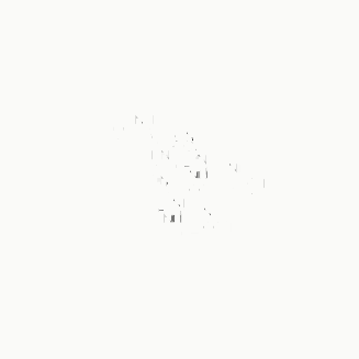 N[C@@H](CCC(=O)N[C@@H](CSN=O)C(=O)NCC(=O)O)C(=O)O.N[C@@H](CCC(=O)N[C@@H](CSN=O)C(=O)NCC(=O)O)C(=O)O.N[C@@H](CSSC[C@H](N)C(=O)O)C(=O)O